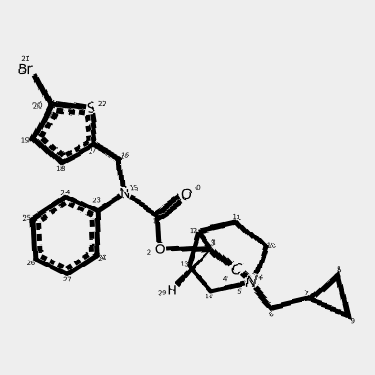 O=C(O[C@H]1C[N+]2(CC3CC3)CCC1CC2)N(Cc1ccc(Br)s1)c1ccccc1